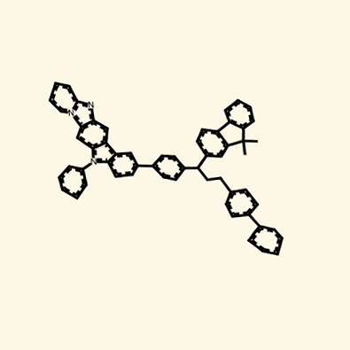 CC1(C)c2ccccc2-c2ccc(C(CCc3ccc(-c4ccccc4)cc3)c3ccc(-c4ccc5c(c4)c4cc6nc7ccccn7c6cc4n5-c4ccccc4)cc3)cc21